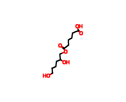 O=C(O)CCCCC(=O)OCC(O)CCCCO